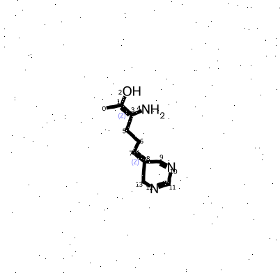 C/C(O)=C(/N)CC/C=C1\C=NC=NC1